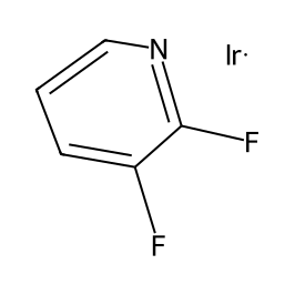 Fc1cccnc1F.[Ir]